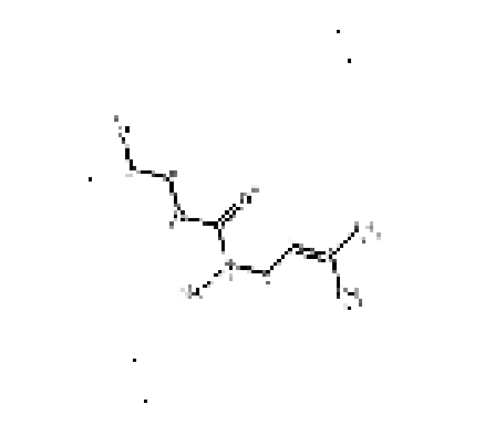 CCCCN(CC=C(C)C)C(=O)OCCCl